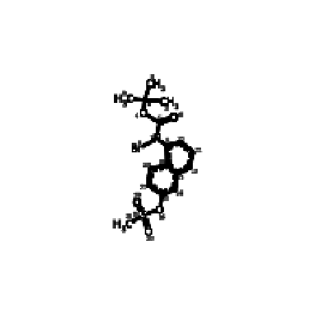 CC(C)(C)OC(=O)N(Br)c1cccc2cc(OS(C)(=O)=O)ccc12